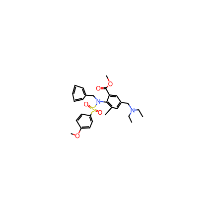 CCN(CC)Cc1cc(C)c(N(Cc2ccccc2)S(=O)(=O)c2ccc(OC)cc2)c(C(=O)OC)c1